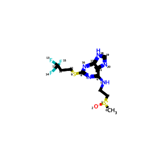 C[S+]([O-])CCNc1nc(SCCC(F)(F)F)nc2[nH]cnc12